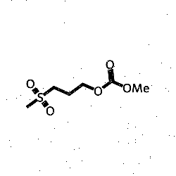 [CH2]OC(=O)OCCCS(C)(=O)=O